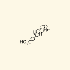 C=C(C)[C@@H]1CCC2CC[C@@]3(C)C4CC[C@@H]5C(CC=C(c6ccc(C(=O)O)cc6)C5(C)C)[C@H]4CCC3[C@H]21